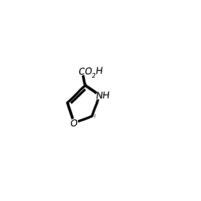 O=C(O)C1=CO[C]N1